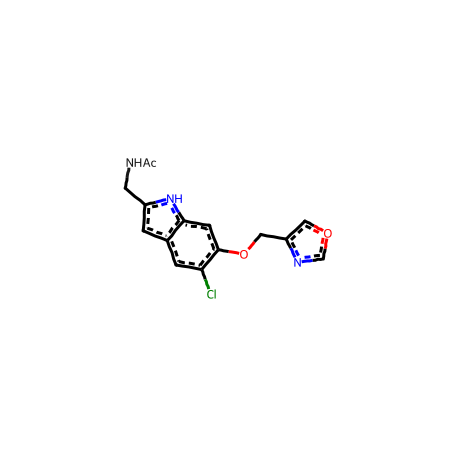 CC(=O)NCc1cc2cc(Cl)c(OCc3cocn3)cc2[nH]1